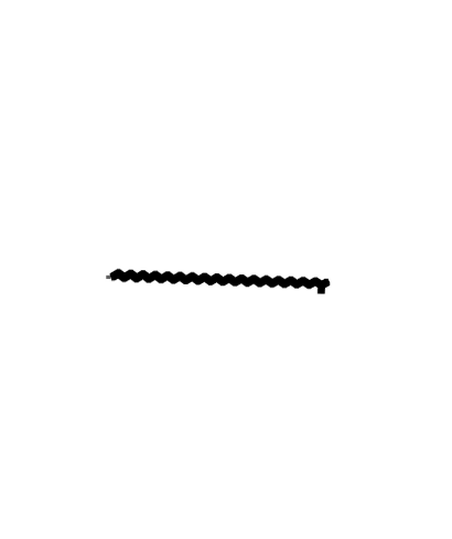 [CH2]CCCCCCCCCCCCCCCCCCCCCCCCCCCCCCCCCC(C)C